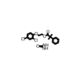 CC(C)(C(=O)OCCOc1ccc(Cl)cc1Cl)c1ccccc1.O=C1NN1